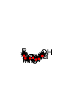 CN1C(=O)C(NC(=O)c2ncn(Cc3ccc(F)cc3)n2)COc2ccc(N3CCC(CO)(CCl)CC3)cc21